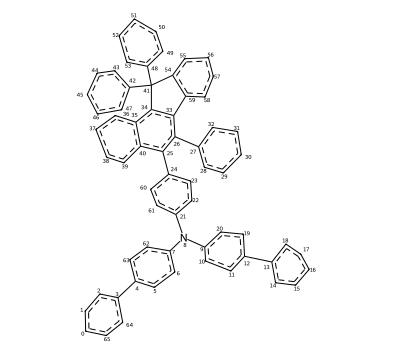 c1ccc(-c2ccc(N(c3ccc(-c4ccccc4)cc3)c3ccc(-c4c(-c5ccccc5)c5c(c6ccccc46)C(c4ccccc4)(c4ccccc4)c4ccccc4-5)cc3)cc2)cc1